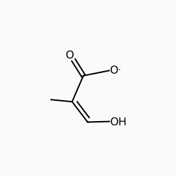 CC(=CO)C([O])=O